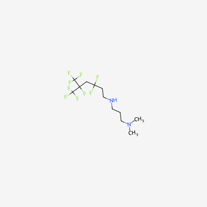 CN(C)CCCNCCC(F)(F)CC(F)(C(F)(F)F)C(F)(F)F